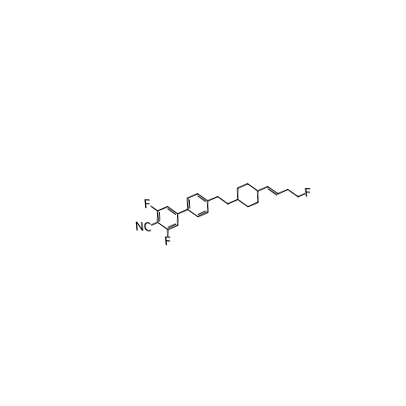 N#Cc1c(F)cc(-c2ccc(CCC3CCC(/C=C/CCF)CC3)cc2)cc1F